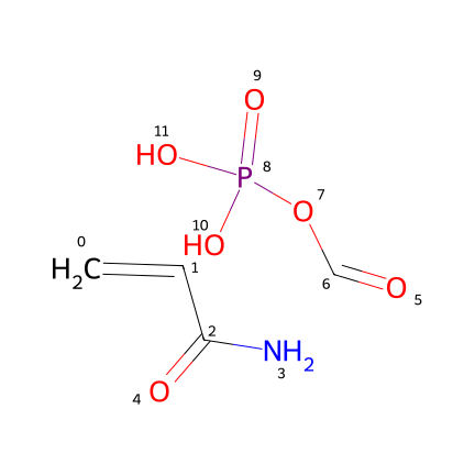 C=CC(N)=O.O=COP(=O)(O)O